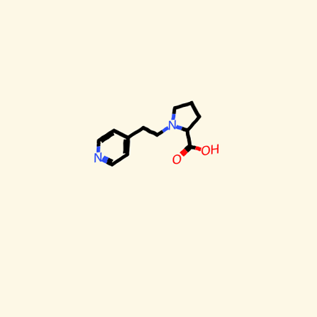 O=C(O)C1CCCN1CCc1ccncc1